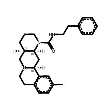 Cc1ccc2c(c1)[C@@H]1C[C@H]3[C@H](CCCN3C(=O)NCCc3ccccc3)CN1CC2